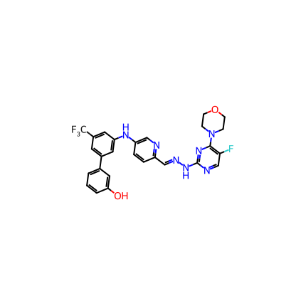 Oc1cccc(-c2cc(Nc3ccc(/C=N/Nc4ncc(F)c(N5CCOCC5)n4)nc3)cc(C(F)(F)F)c2)c1